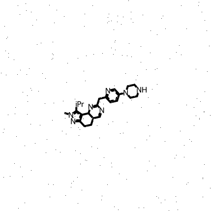 CC(C)c1c2c(nn1C)CCC1C=NC(Cc3ccc(N4CCNCC4)cn3)=NC21